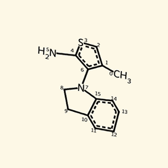 Cc1csc(N)c1N1CCc2ccccc21